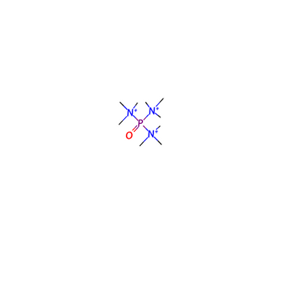 C[N+](C)(C)P(=O)([N+](C)(C)C)[N+](C)(C)C